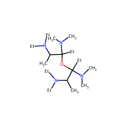 CCN(CC)C(C)C(CC)(OC(CC)(C(C)N(CC)CC)N(C)C)N(C)C